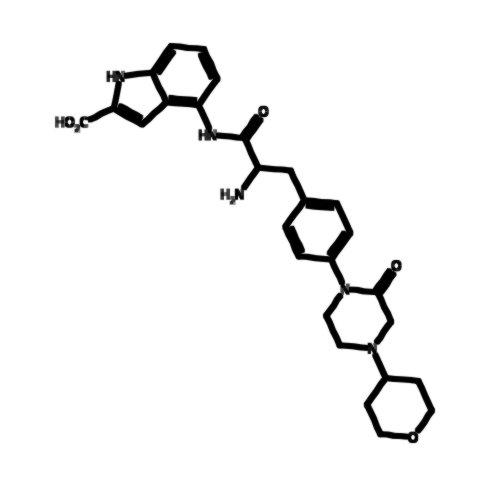 NC(Cc1ccc(N2CCN(C3CCOCC3)CC2=O)cc1)C(=O)Nc1cccc2[nH]c(C(=O)O)cc12